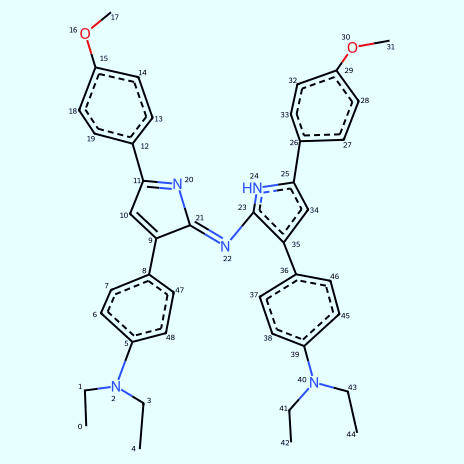 CCN(CC)c1ccc(C2=CC(c3ccc(OC)cc3)=NC2=Nc2[nH]c(-c3ccc(OC)cc3)cc2-c2ccc(N(CC)CC)cc2)cc1